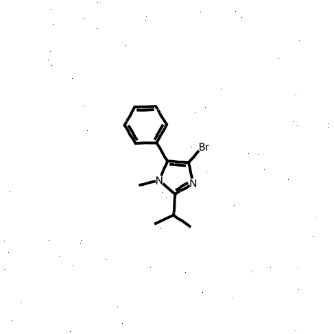 CC(C)c1nc(Br)c(-c2ccccc2)n1C